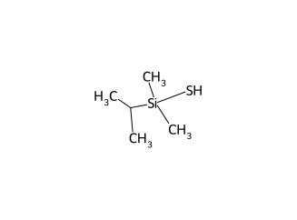 CC(C)[Si](C)(C)S